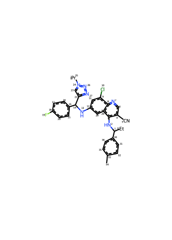 CCC(Nc1c(C#N)cnc2c(Cl)cc(NC(c3ccc(F)cc3)c3cn(C(C)C)nn3)cc12)c1ccc(C)cc1